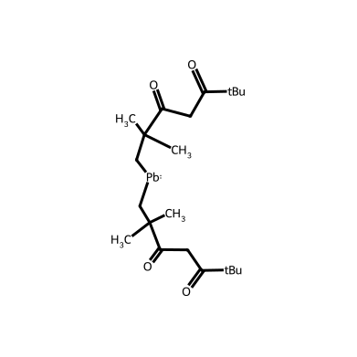 CC(C)(C)C(=O)CC(=O)C(C)(C)[CH2][Pb][CH2]C(C)(C)C(=O)CC(=O)C(C)(C)C